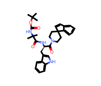 CC(C)(C)OC(=O)NC(C)(C)C(=O)N[C@H](Cc1c[nH]c2ccccc12)C(=O)N1CCC2(C=Cc3ccccc32)CC1